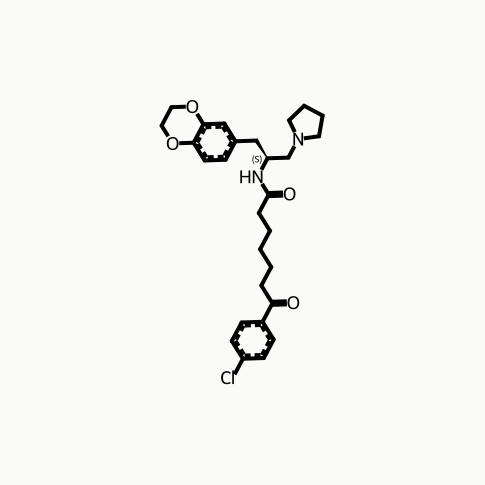 O=C(CCCCCC(=O)c1ccc(Cl)cc1)N[C@@H](Cc1ccc2c(c1)OCCO2)CN1CCCC1